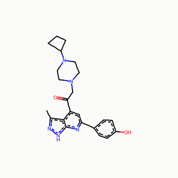 Cc1n[nH]c2nc(-c3ccc(O)cc3)cc(C(=O)CN3CCN(C4CCC4)CC3)c12